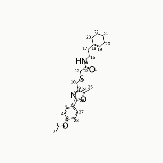 CCOc1ccc(-c2nc(CSCC(=O)NCCC3=CCCCC3)c(C)o2)cc1